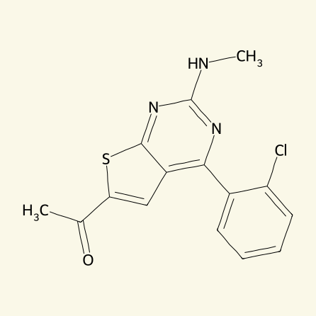 CNc1nc(-c2ccccc2Cl)c2cc(C(C)=O)sc2n1